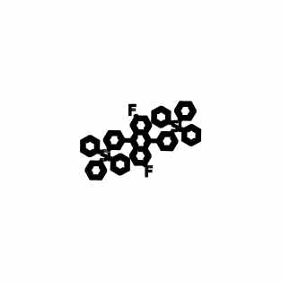 Fc1ccc2c(-c3cccc([Si](c4ccccc4)(c4ccccc4)c4ccccc4)c3)c3cc(F)ccc3c(-c3cccc([Si](c4ccccc4)(c4ccccc4)c4ccccc4)c3)c2c1